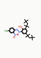 CC(C)(C)CC(C)(C)c1cc(N=Nc2ccc(Cl)cc2[N+](=O)[O-])c(O)c(C(C)(C)CC(C)(C)C)c1